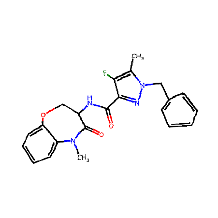 Cc1c(F)c(C(=O)NC2COc3ccccc3N(C)C2=O)nn1Cc1ccccc1